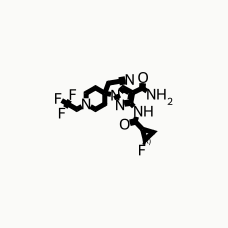 N#CCC1(n2cc(C(N)=O)c(NC(=O)C3C[C@H]3F)n2)CCN(CC(F)(F)F)CC1